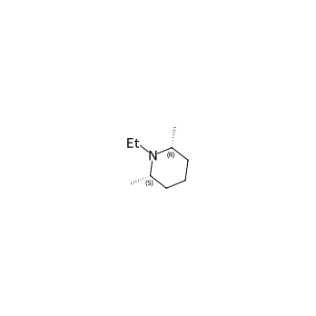 [CH2]CN1[C@H](C)CCC[C@@H]1C